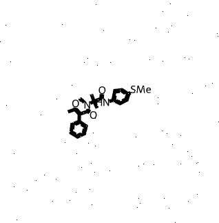 CSc1ccc(NC(=O)C(C)(C)N2COC(C)=C(c3ccccc3)C2=O)cc1